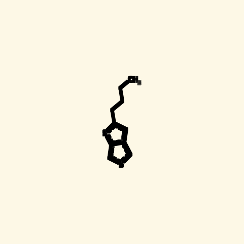 CCCCc1cc2cscc2s1